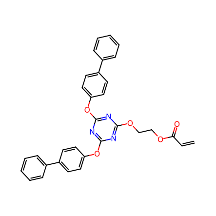 C=CC(=O)OCCOc1nc(Oc2ccc(-c3ccccc3)cc2)nc(Oc2ccc(-c3ccccc3)cc2)n1